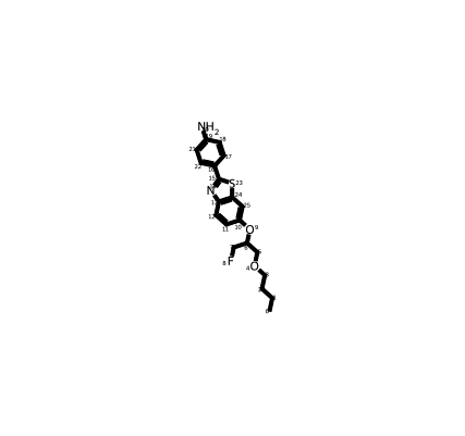 CCCCOCC(CF)Oc1ccc2nc(-c3ccc(N)cc3)sc2c1